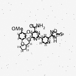 COc1ccccc1Oc1c(OCC2CCCO2)nc(-c2ccnc(-c3noc(=S)[nH]3)c2)nc1C(N)=O